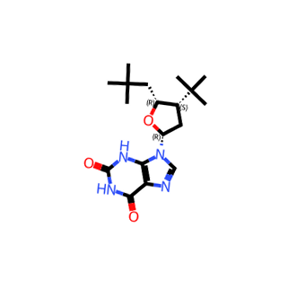 CC(C)(C)C[C@H]1O[C@@H](n2cnc3c(=O)[nH]c(=O)[nH]c32)C[C@H]1C(C)(C)C